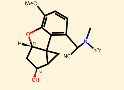 CCCN(C)C(C#N)c1ccc(OC)c2c1C13CC1[C@@H](O)C[C@@H]3O2